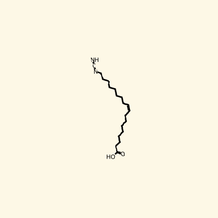 N=C=NCCCCCCCC/C=C\CCCCCCCC(=O)O